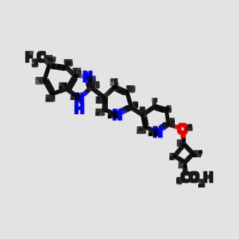 O=C(O)[C@H]1C[C@@H](Oc2ccc(-c3ccc(-c4nc5cc(C(F)(F)F)ccc5[nH]4)cn3)cn2)C1